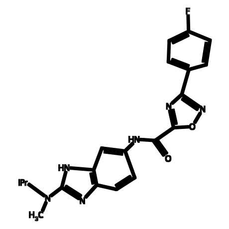 CC(C)N(C)c1nc2ccc(NC(=O)c3nc(-c4ccc(F)cc4)no3)cc2[nH]1